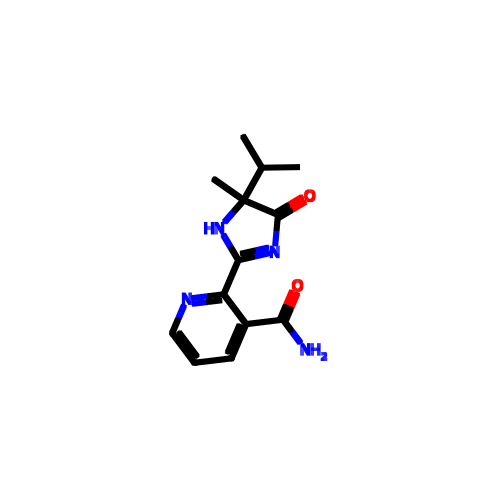 CC(C)C1(C)NC(c2ncccc2C(N)=O)=NC1=O